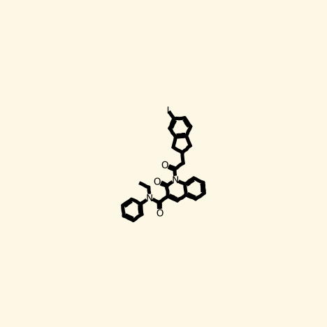 CCN(C(=O)c1cc2ccccc2n(C(=O)CC2Cc3ccc(I)cc3C2)c1=O)c1ccccc1